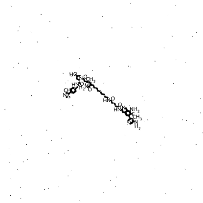 Cc1ncsc1-c1ccc(CNC(=O)[C@@H]2C[C@@H](O)CN2C(=O)CC(C)(C)CC(CCCCCCCCCNC(=O)CCCC(=O)Nc2cc3cc(-c4cncc(N)c4C)c(F)c(N)c3cn2)C(N)=O)cc1